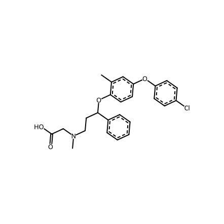 Cc1cc(Oc2ccc(Cl)cc2)ccc1OC(CCN(C)CC(=O)O)c1ccccc1